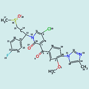 COc1cc(C(=O)c2cc(Cl)cn(C(CC[S+](C)[O-])c3ccc(F)cc3)c2=O)ccc1-n1cnc(C)c1